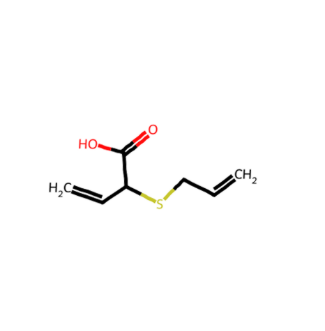 C=CCSC(C=C)C(=O)O